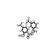 CC(C)c1ccc([N+](=O)[O-])c(O)c1.CC(C)c1cccc(O)c1